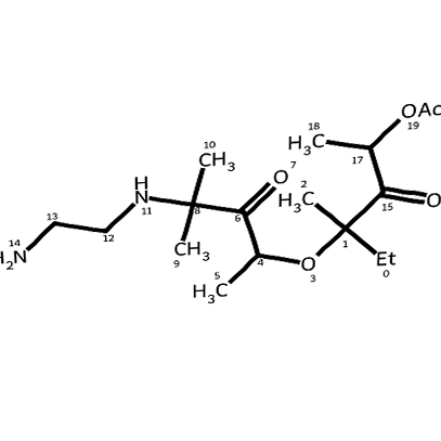 CCC(C)(OC(C)C(=O)C(C)(C)NCCN)C(=O)C(C)OC(C)=O